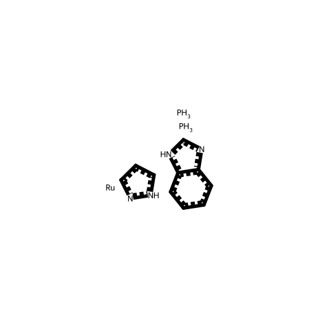 P.P.[Ru].c1ccc2[nH]cnc2c1.c1cn[nH]c1